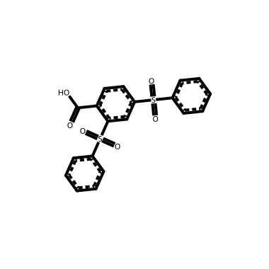 O=C(O)c1ccc(S(=O)(=O)c2ccccc2)cc1S(=O)(=O)c1ccccc1